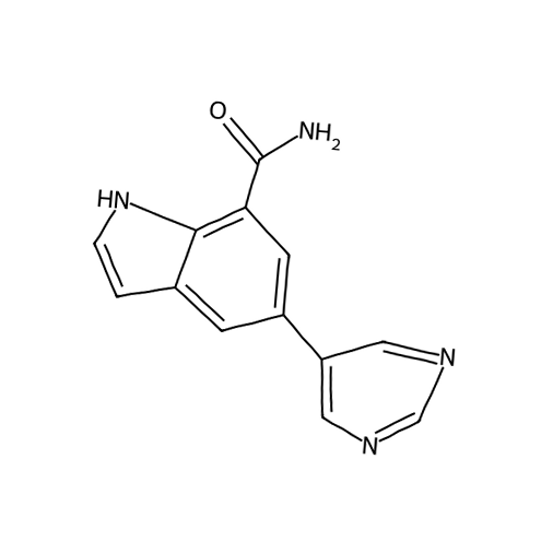 NC(=O)c1cc(-c2cncnc2)cc2cc[nH]c12